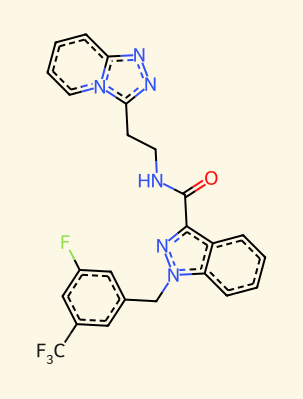 O=C(NCCc1nnc2ccccn12)c1nn(Cc2cc(F)cc(C(F)(F)F)c2)c2ccccc12